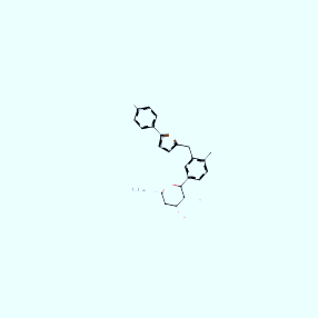 CS[C@H]1OC(c2ccc(C)c(Cc3ccc(-c4ccc(C(=O)O)cc4)s3)c2)[C@H](O)[C@@H](O)[C@@H]1O